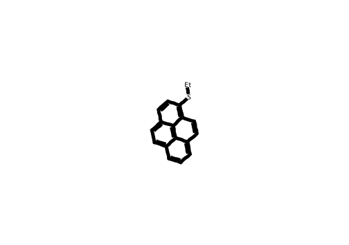 [CH2]CSc1ccc2ccc3cccc4ccc1c2c34